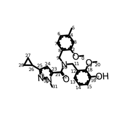 COc1cc(C)ccc1CN(Cc1cccc(O)c1OC)C(=O)c1cc(C2CC2)nn1C